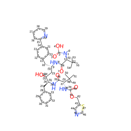 CN(C(=O)O)[C@H](C(=O)N[C@@H](Cc1ccc(-c2ccccn2)cc1)C[C@H](O)[C@H](Cc1ccccc1)NC(=O)[C@@H](NC(=O)OCc1cncs1)C(C)(C)C)C(C)(C)C